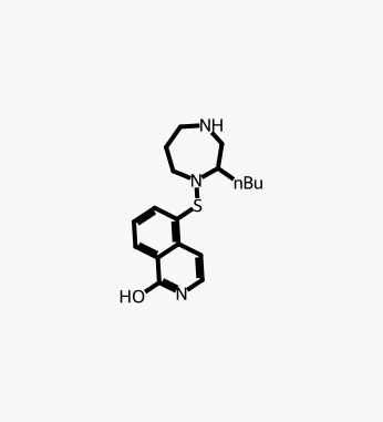 CCCCC1CNCCCN1Sc1cccc2c(O)nccc12